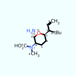 C=CC([C@H]1CC[C@@H](N(C)C(=O)O)CO1)C(C)(C)C.N